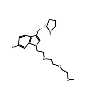 COCCOCCOCCn1cc(C[C@@H]2CCCN2)c2ccc(F)cc21